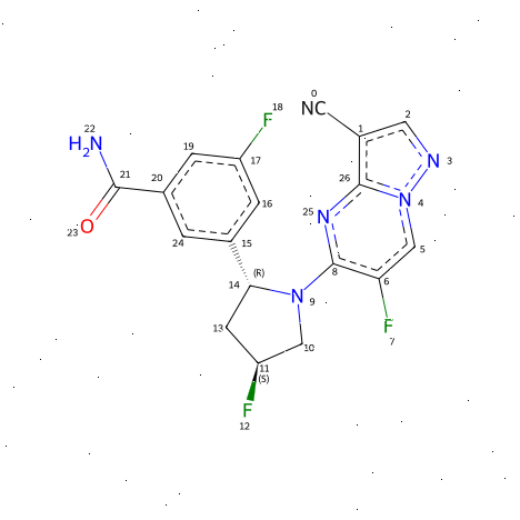 N#Cc1cnn2cc(F)c(N3C[C@@H](F)C[C@@H]3c3cc(F)cc(C(N)=O)c3)nc12